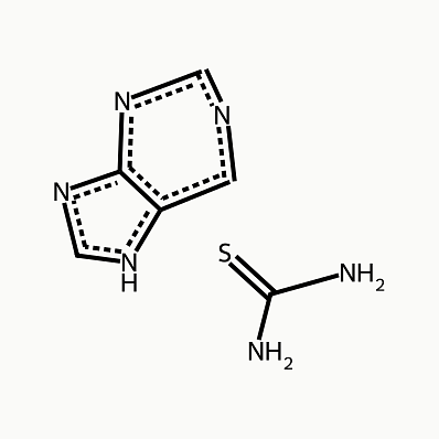 NC(N)=S.c1ncc2[nH]cnc2n1